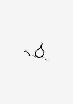 CC[C@@H]1C[C@H](CC(C)=O)OC(=O)O1